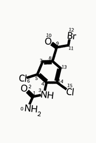 NC(=O)Nc1c(Cl)cc(C(=O)CBr)cc1Cl